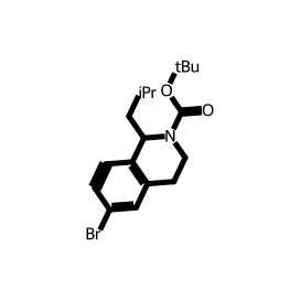 CC(C)CC1c2c#cc(Br)cc2CCN1C(=O)OC(C)(C)C